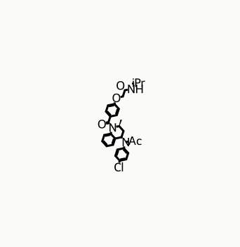 CC(=O)N(c1ccc(Cl)cc1)[C@@H]1C[C@H](C)N(C(=O)c2ccc(OCC(=O)NC(C)C)cc2)c2ccccc21